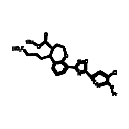 CCOC(=O)CCCC1c2cccc(-c3noc(-c4cnc(OC(C)C)c(Cl)c4)n3)c2OCCN1C(=O)OC(C)(C)C